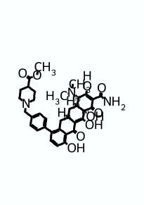 COC(=O)C1CCN(Cc2ccc(-c3ccc(O)c4c3C[C@@H]3C[C@@H]5[C@@H](N(C)C)C(O)=C(C(N)=O)C(=O)[C@@]5(O)C(O)=C3C4=O)cc2)CC1